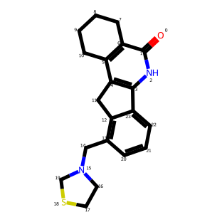 O=c1[nH]c2c(c3c1CCCC3)Cc1c(CN3CCSC3)cccc1-2